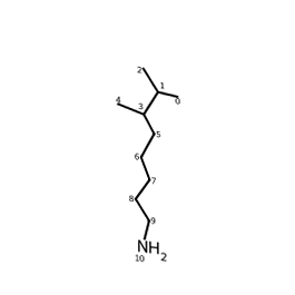 CC(C)C(C)CCCCCN